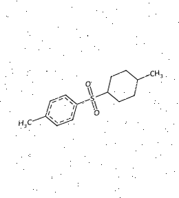 Cc1ccc(S(=O)(=O)C2CCC(C)CC2)cc1